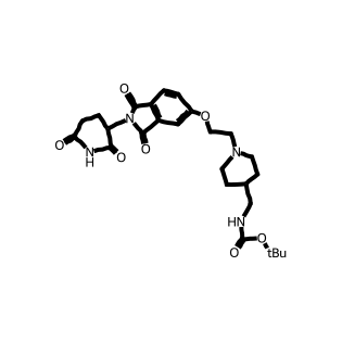 CC(C)(C)OC(=O)NCC1CCN(CCOc2ccc3c(c2)C(=O)N(C2CCC(=O)NC2=O)C3=O)CC1